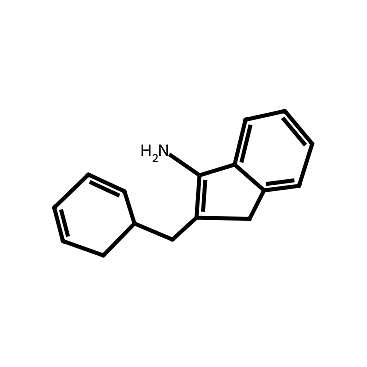 NC1=C(CC2C=CC=CC2)Cc2ccccc21